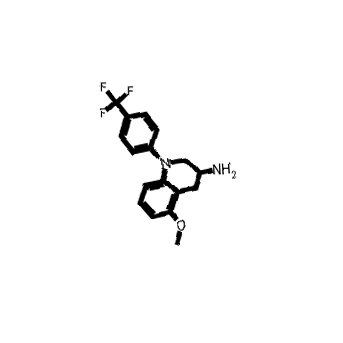 COc1cccc2c1CC(N)CN2c1ccc(C(F)(F)F)cc1